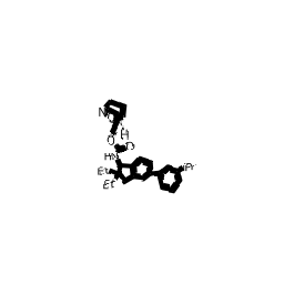 CCC1(CC)Cc2cc(-c3cccc(C(C)C)c3)ccc2C1NC(=O)O[C@H]1CN2CCC1CC2